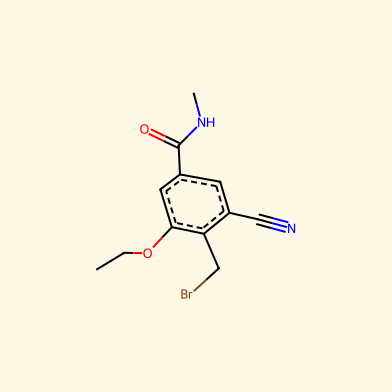 CCOc1cc(C(=O)NC)cc(C#N)c1CBr